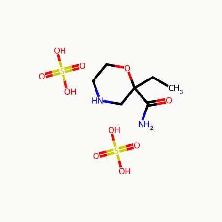 CCC1(C(N)=O)CNCCO1.O=S(=O)(O)O.O=S(=O)(O)O